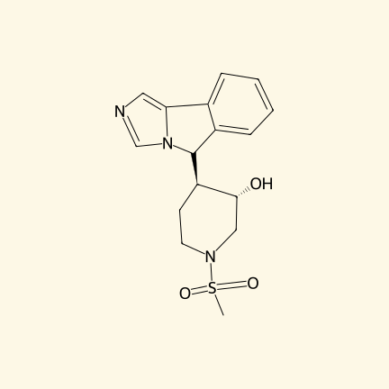 CS(=O)(=O)N1CC[C@@H](C2c3ccccc3-c3cncn32)[C@H](O)C1